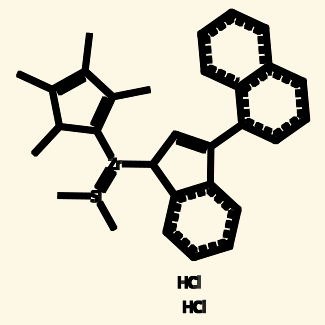 CC1=C(C)C(C)[C]([Zr]([CH]2C=C(c3cccc4ccccc34)c3ccccc32)=[Si](C)C)=C1C.Cl.Cl